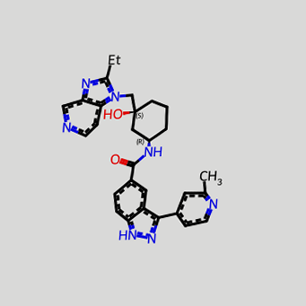 CCc1nc2cnccc2n1C[C@]1(O)CCC[C@@H](NC(=O)c2ccc3[nH]nc(-c4ccnc(C)c4)c3c2)C1